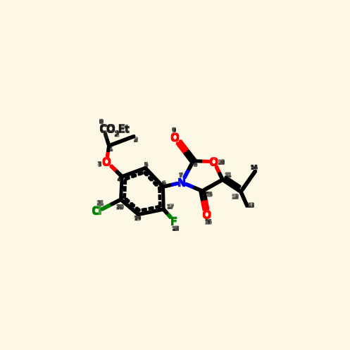 CCOC(=O)C(C)Oc1cc(N2C(=O)OC(=C(C)C)C2=O)c(F)cc1Cl